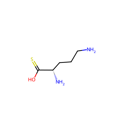 NCCC[C@H](N)C(O)=S